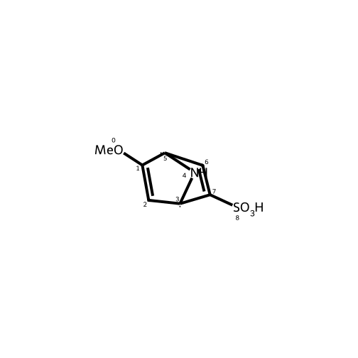 COC1=C[C]2N[C]1C=C2S(=O)(=O)O